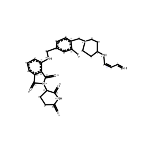 N=C/C=C\NC1CCN(Cc2ccc(CNc3cccc4c3C(=O)N(C3CCC(=O)NC3=O)C4=O)cc2F)CC1